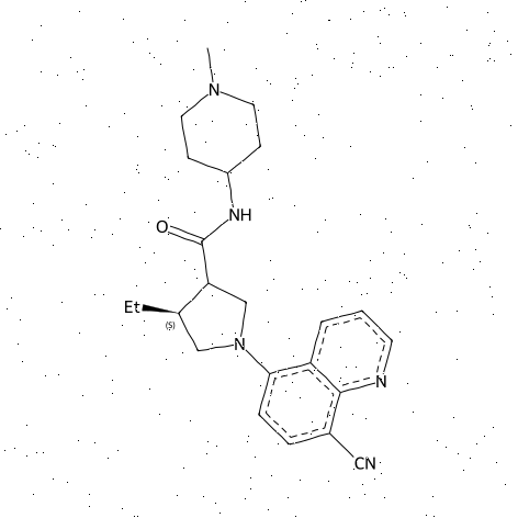 CC[C@@H]1CN(c2ccc(C#N)c3ncccc23)CC1C(=O)NC1CCN(C)CC1